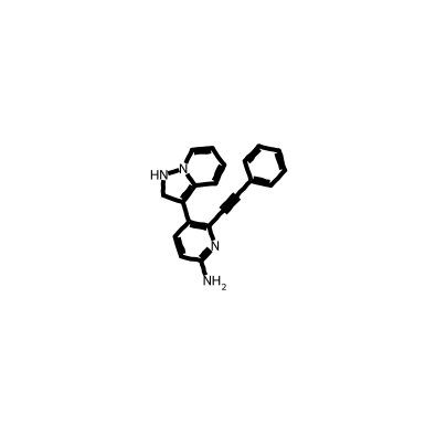 Nc1ccc(C2=C3C=CC=CN3NC2)c(C#Cc2ccccc2)n1